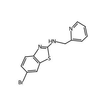 Brc1ccc2nc(NCc3ccccn3)sc2c1